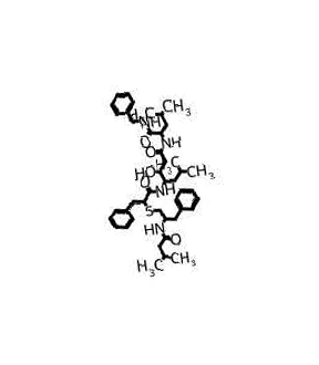 CC(C)CC(=O)NC(CSC(Cc1ccccc1)C(=O)NC(CC(C)C)C(O)CC(=O)NC(CC(C)C)C(=O)NCc1ccccc1)Cc1ccccc1